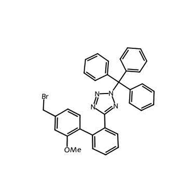 COc1cc(CBr)ccc1-c1ccccc1-c1nnn(C(c2ccccc2)(c2ccccc2)c2ccccc2)n1